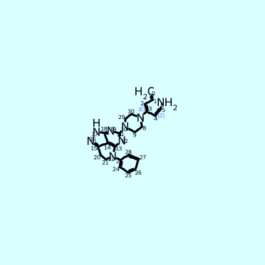 C=C/C=C(\C=C/N)N1CCN(c2nc3c4c(n[nH]c4n2)CCN3c2ccccc2)CC1